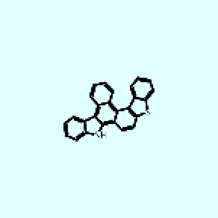 c1ccc2c(c1)[nH]c1c3ccc4sc5ccccc5c4c3c3ccccc3c21